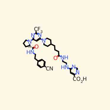 N#Cc1ccc(CCNC(=O)[C@@H]2CCCN2c2cc(N3CCC(CCCC(=O)NCCNc4cc(C(=O)O)ncn4)CC3)nc(C(F)(F)F)n2)cc1